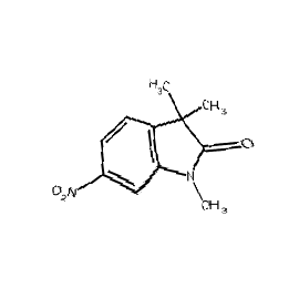 CN1C(=O)C(C)(C)c2ccc([N+](=O)[O-])cc21